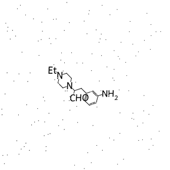 CCN1CCN(C(C=O)Cc2cccc(N)c2)CC1